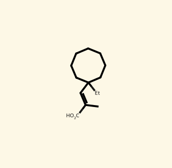 CCC1(C=C(C)C(=O)O)CCCCCCC1